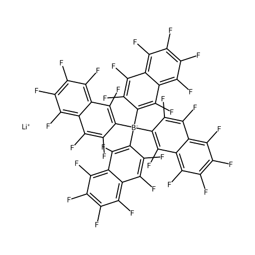 Fc1c(F)c(F)c2c(F)c([B-](c3c(F)c(F)c4c(F)c(F)c(F)c(F)c4c3F)(c3c(F)c(F)c4c(F)c(F)c(F)c(F)c4c3F)c3c(F)c(F)c4c(F)c(F)c(F)c(F)c4c3F)c(F)c(F)c2c1F.[Li+]